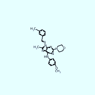 COc1ccc(Nc2nc(N3CCOCC3)nc3c2nc(C)n3/N=C/c2cccc(C)c2)cc1